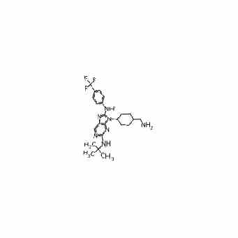 CC(C)(C)Nc1ncc2nc(Nc3ccc(C(F)(F)F)cc3)n(C3CCC(CN)CC3)c2n1